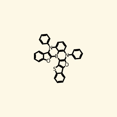 c1ccc(N2c3cccc4c3B(c3oc5ccccc5c3N4c3ccccc3)c3c2oc2c3sc3ccccc32)cc1